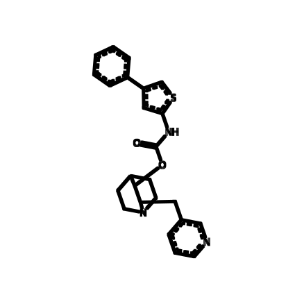 O=C(Nc1cc(-c2ccccc2)cs1)OC1C2CCN(CC2)C1Cc1cccnc1